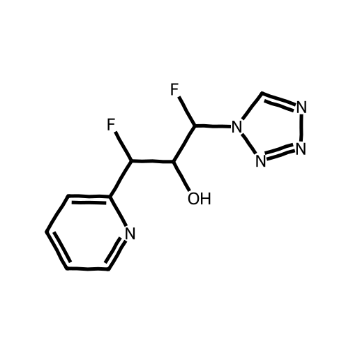 OC(C(F)c1ccccn1)C(F)n1cnnn1